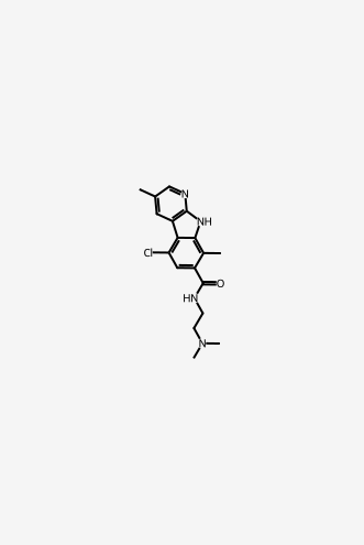 Cc1cnc2[nH]c3c(C)c(C(=O)NCCN(C)C)cc(Cl)c3c2c1